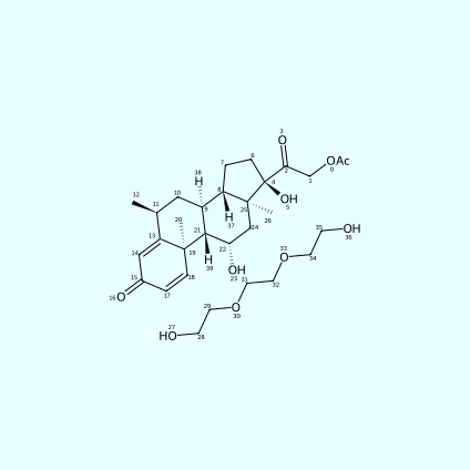 CC(=O)OCC(=O)[C@@]1(O)CC[C@H]2[C@@H]3C[C@H](C)C4=CC(=O)C=C[C@]4(C)[C@H]3[C@@H](O)C[C@@]21C.OCCOCCOCCO